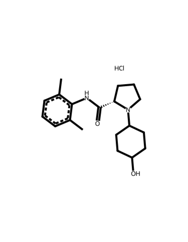 Cc1cccc(C)c1NC(=O)[C@@H]1CCCN1C1CCC(O)CC1.Cl